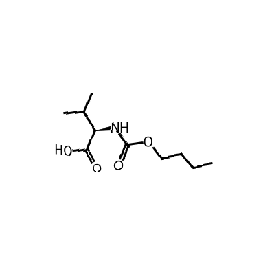 CCCCOC(=O)N[C@@H](C(=O)O)C(C)C